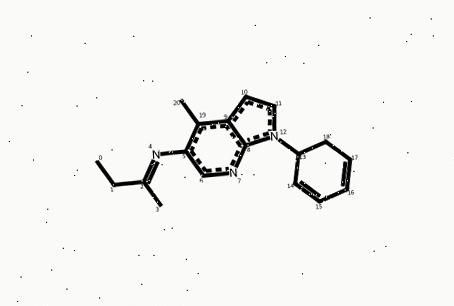 CC/C(C)=N/c1cnc2c(ccn2C2C=CC=CC2)c1C